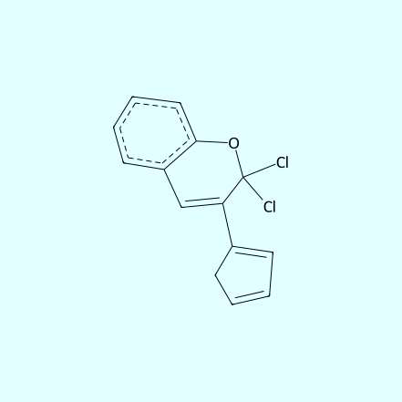 ClC1(Cl)Oc2ccccc2C=C1C1=CC=CC1